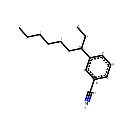 CCCCCCC(CC)c1cccc(C#N)c1